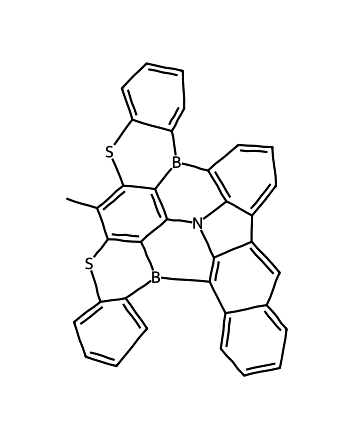 Cc1c2c3c4c5c1Sc1ccccc1B5c1c5ccccc5cc5c6cccc(c6n-4c15)B3c1ccccc1S2